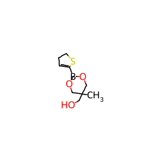 CC1(CO)COB(C2=CCCS2)OC1